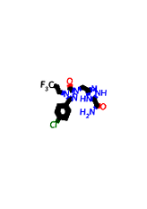 NC(=O)C1NN=C(Cn2nc(-c3ccc(Cl)cc3)n(CCC(F)(F)F)c2=O)N1